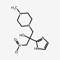 CN1CCN(CC(O)(C[N+](=O)[O-])c2ncc[nH]2)CC1